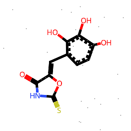 O=C1NC(=S)O/C1=C\c1ccc(O)c(O)c1O